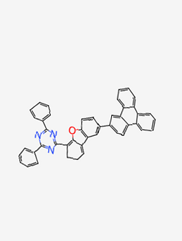 C1=c2c(oc3ccc(-c4ccc5c6ccccc6c6ccccc6c5c4)cc23)=C(c2nc(-c3ccccc3)nc(-c3ccccc3)n2)CC1